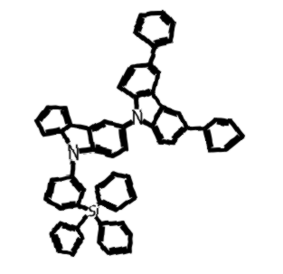 c1ccc(-c2ccc3c(c2)c2cc(-c4ccccc4)ccc2n3-c2ccc3c(c2)c2ccccc2n3-c2cccc([Si](c3ccccc3)(c3ccccc3)c3ccccc3)c2)cc1